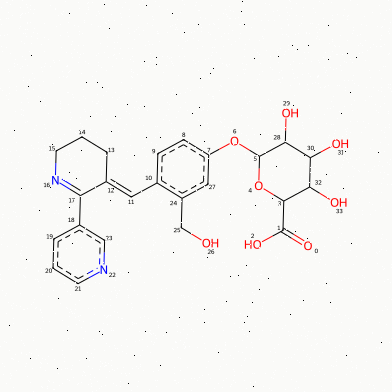 O=C(O)C1OC(Oc2ccc(/C=C3\CCCN=C3c3cccnc3)c(CO)c2)C(O)C(O)C1O